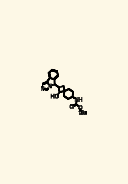 CC(C)(C)OC(=O)NC1CCC2(CC1)C[C@H]([C@@H]1c3ccccc3-c3cncn31)[C@@H]2O